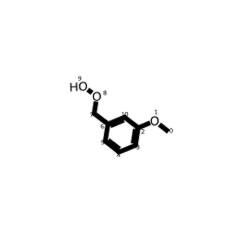 COc1cccc(COO)c1